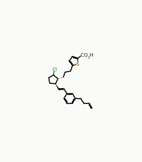 C=CCCc1cccc(/C=C/[C@H]2CC[C@@H](Cl)[C@@H]2CCCc2ccc(C(=O)O)s2)c1